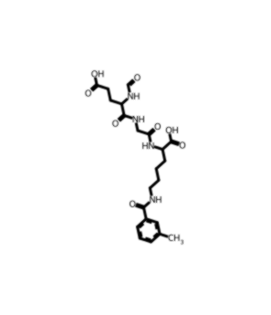 Cc1cccc(C(=O)NCCCCC(NC(=O)CNC(=O)C(CCC(=O)O)NC=O)C(=O)O)c1